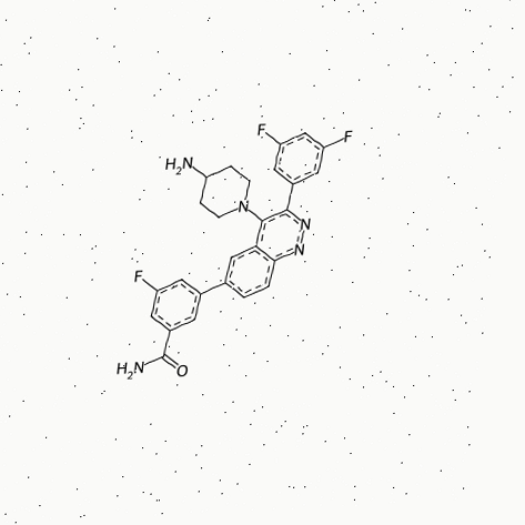 NC(=O)c1cc(F)cc(-c2ccc3nnc(-c4cc(F)cc(F)c4)c(N4CCC(N)CC4)c3c2)c1